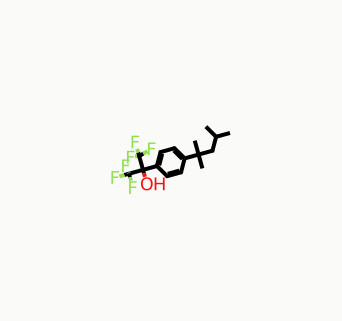 CC(C)CC(C)(C)c1ccc(C(O)(C(F)(F)F)C(F)(F)F)cc1